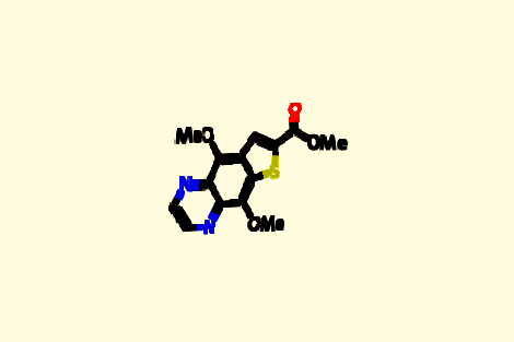 COC(=O)c1cc2c(OC)c3nccnc3c(OC)c2s1